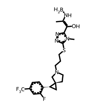 BN/C(C)=C(\O)c1nnc(SCCCN2CC[C@]3(C[C@@H]3c3ccc(C(F)(F)F)cc3F)C2)n1C